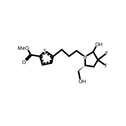 COC(=O)c1ccc(CCCN2C(O)C(F)(F)C[C@@H]2CO)s1